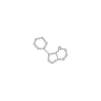 [c]1ccc(-c2ccc3cccoc2-3)cc1